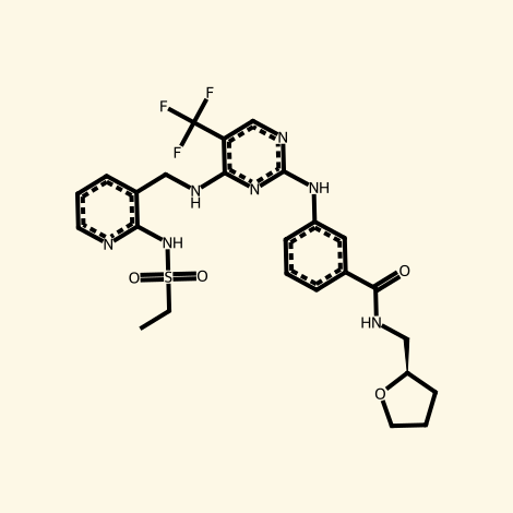 CCS(=O)(=O)Nc1ncccc1CNc1nc(Nc2cccc(C(=O)NC[C@H]3CCCO3)c2)ncc1C(F)(F)F